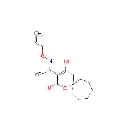 C=CCO/N=C(\CCC)C1=C(O)CC2(CCCCCC2)OC1=O